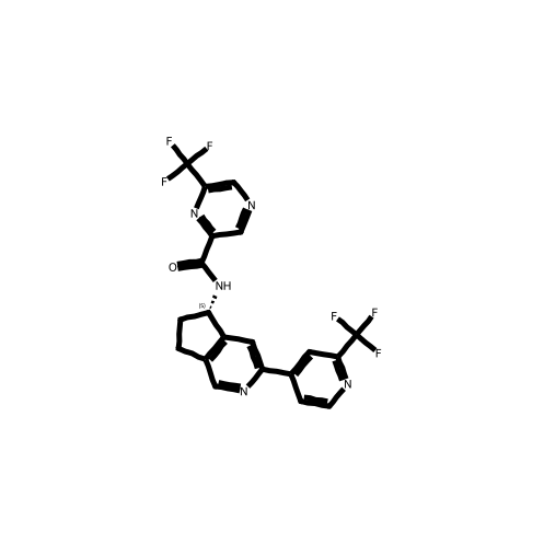 O=C(N[C@H]1CCc2cnc(-c3ccnc(C(F)(F)F)c3)cc21)c1cncc(C(F)(F)F)n1